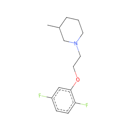 CC1CCCN(CCOc2cc(F)ccc2F)C1